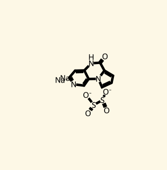 O=S([O-])S(=O)[O-].O=c1[nH]c2ccncc2n2cccc12.[Na+].[Na+]